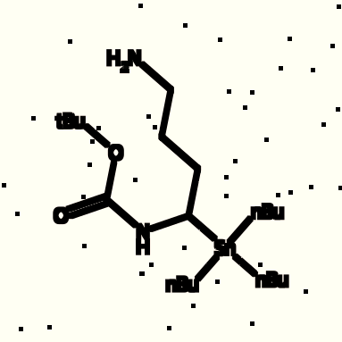 CCC[CH2][Sn]([CH2]CCC)([CH2]CCC)[CH](CCCN)NC(=O)OC(C)(C)C